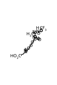 Cc1ncc(NC(=O)c2cccc(C(F)(F)F)c2)cc1-c1cnc(OCCOCCOCCOCc2cn(CCCCCC(=O)O)nn2)c(N2CCOCC2)c1